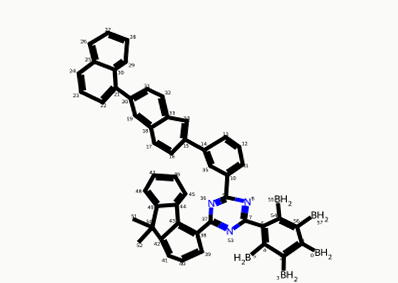 Bc1c(B)c(B)c(-c2nc(-c3cccc(-c4ccc5cc(-c6cccc7ccccc67)ccc5c4)c3)nc(-c3cccc4c3-c3ccccc3C4(C)C)n2)c(B)c1B